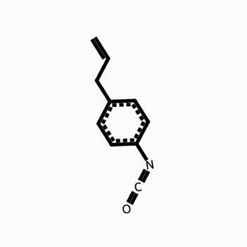 C=CCc1ccc(N=C=O)cc1